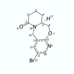 O=C1CCC[C@H]2COc3ncc(Br)cc3CN12